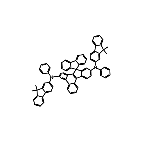 CC1(C)c2ccccc2-c2ccc(N(c3ccccc3)c3ccc4c(c3)C3(c5ccccc5-c5ccccc53)c3c-4c4ccccc4c4cc(N(c5ccccc5)c5ccc6c(c5)C(C)(C)c5ccccc5-6)ccc34)cc21